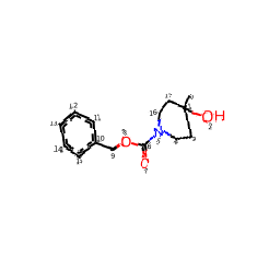 CC1(O)CCN(C(=O)OCc2ccccc2)CC1